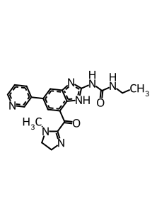 CCNC(=O)Nc1nc2cc(-c3cccnc3)cc(C(=O)C3=NCCN3C)c2[nH]1